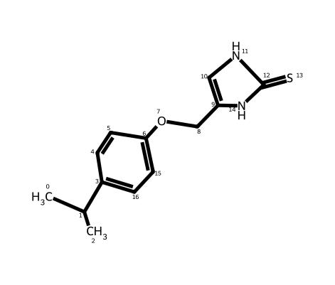 CC(C)c1ccc(OCc2c[nH]c(=S)[nH]2)cc1